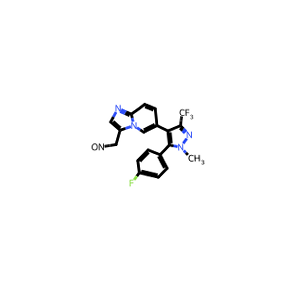 Cn1nc(C(F)(F)F)c(-c2ccc3ncc(CN=O)n3c2)c1-c1ccc(F)cc1